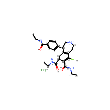 CCNC(=O)c1ccc([C@H]2CNCCc3c2cc(C(=O)NCC)c(C(=O)NCC)c3F)cc1.Cl